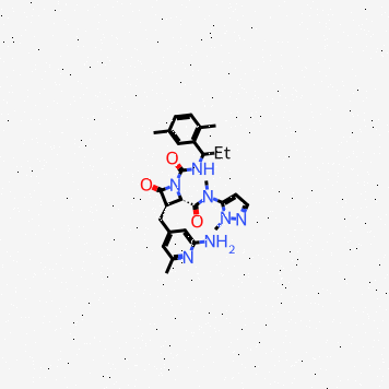 CCC(NC(=O)N1C(=O)[C@H](Cc2cc(C)nc(N)c2)[C@H]1C(=O)N(C)c1ccnn1C)c1cc(C)ccc1C